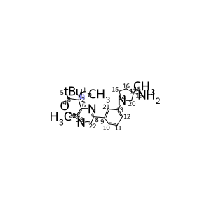 C/C=C(/C(=O)C(C)(C)C)c1nc(-c2cccc(N3CCC(C)(N)C3)c2)cnc1C